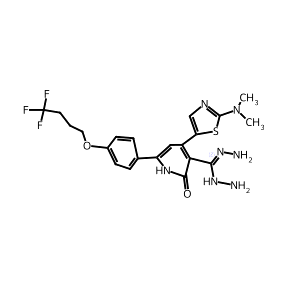 CN(C)c1ncc(-c2cc(-c3ccc(OCCCC(F)(F)F)cc3)[nH]c(=O)c2/C(=N/N)NN)s1